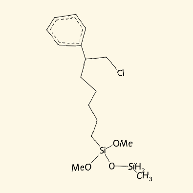 CO[Si](CCCCCC(CCl)c1ccccc1)(OC)O[SiH2]C